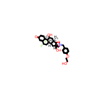 C[C@]12C=CC(=O)C=C1[C@@H](F)C[C@H]1[C@@H]3C[C@H]4CN(Cc5ccc(OCCO)cc5)O[C@@]4(C(=O)CO)[C@@]3(C)C[C@H](O)[C@@]12F